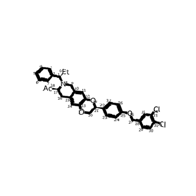 CC[C@@H](c1ccccc1)N1Cc2cc3c(cc2C[C@H]1C(C)=O)OC[C@H](c1ccc(OCc2ccc(Cl)c(Cl)c2)cc1)O3